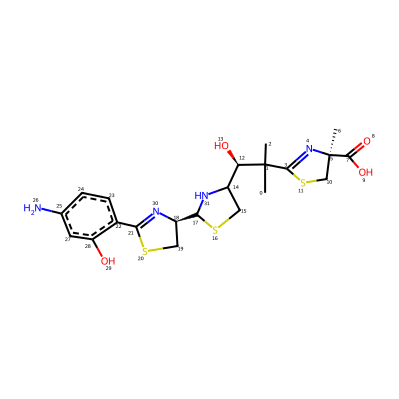 CC(C)(C1=N[C@@](C)(C(=O)O)CS1)[C@H](O)C1CSC([C@H]2CSC(c3ccc(N)cc3O)=N2)N1